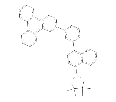 CC1(C)OB(c2ccc(-c3cccc(-c4ccc5c6ccccc6c6ccccc6c5c4)c3)c3ccccc23)OC1(C)C